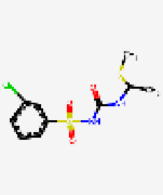 CSC(C)NC(=O)NS(=O)(=O)c1cccc(Cl)c1